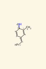 CCCC=C1C=CC(=N)C(C)=C1